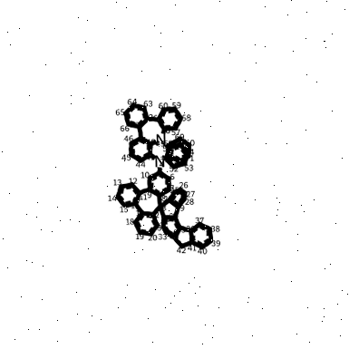 c1ccc(N(c2ccc3c(c2)-c2ccccc2-c2ccccc2C32c3ccccc3-c3c2ccc2c3-c3ccccc3C2)c2cccc3c2N(c2ccccc2)c2ccccc2-c2ccccc2-3)cc1